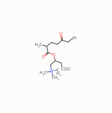 CC(C)CC(=O)CCC(C)C(=O)OC(CC(=O)[O-])C[N+](C)(C)C